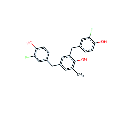 Cc1cc(Cc2ccc(O)c(F)c2)cc(Cc2ccc(O)c(F)c2)c1O